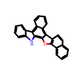 c1ccc2c(c1)ccc1c2oc2c3[nH]c4ccccc4c3c3ccccc3c12